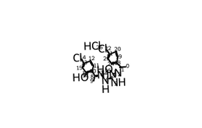 CC(=NNC(=N)NN=C(C)c1ccc(Cl)cc1O)c1ccc(Cl)cc1O.Cl